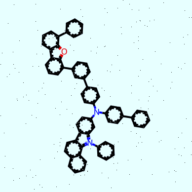 c1ccc(-c2ccc(N(c3ccc(-c4cccc(-c5cccc6c5oc5c(-c7ccccc7)cccc56)c4)cc3)c3ccc4c5ccc6ccccc6c5n(-c5ccccc5)c4c3)cc2)cc1